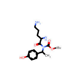 CC(c1ccc(O)cc1)N(C(=O)OC(C)(C)C)C(=O)C(N)CCCN